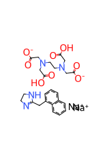 O=C([O-])CN(CCN(CC(=O)[O-])CC(=O)O)CC(=O)O.[Na+].[Na+].c1ccc2c(CC3=NCCN3)cccc2c1